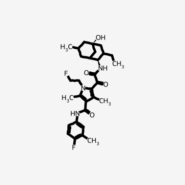 CCC1C[C@]2(O)CC(C)CC(C2)[C@@H]1NC(=O)C(=O)c1c(C)c(C(=O)Nc2ccc(F)c(C)c2)c(C)n1CCF